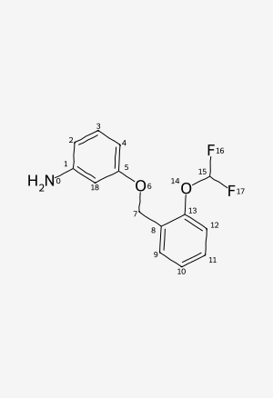 Nc1cccc(OCc2ccccc2OC(F)F)c1